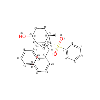 O=S(=O)(c1ccccc1)[C@@H]1C[C@]2(c3ccccc3)C(Cc3ccccc3)[C@@H]1CC[C@H]2O